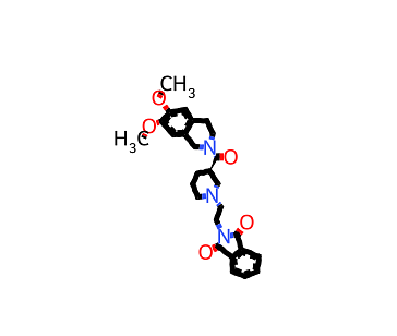 COc1cc2c(cc1OC)CN(C(=O)[C@@H]1CCCN(CCN3C(=O)c4ccccc4C3=O)C1)CC2